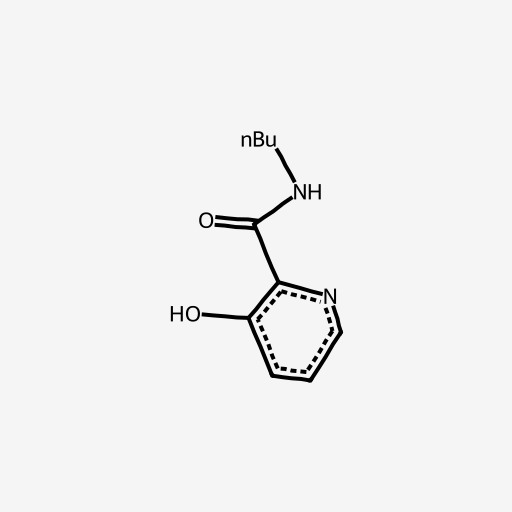 CCCCNC(=O)c1ncccc1O